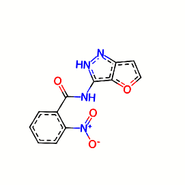 O=C(Nc1[nH]nc2ccoc12)c1ccccc1[N+](=O)[O-]